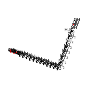 C=CC(N)=O.C=CC(N)=O.C=CC(N)=O.C=CC(N)=O.C=CC(N)=O.C=CC(N)=O.C=CC(N)=O.C=CC(N)=O.C=CC(N)=O.C=CC(N)=O.C=CC(N)=O.C=CC(N)=O.C=CC(N)=O.C=CC(N)=O.C=CC(N)=O.C=CC(N)=O.C=CC(N)=O.C=CC(N)=O.C=CC(N)=O.CO.CO.CO.CO.CO.CO.CO.CO.CO.CO.CO.CO.CO.CO